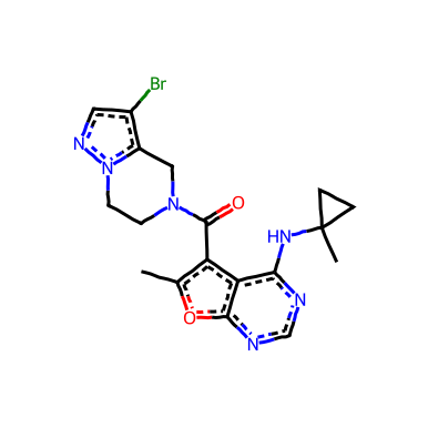 Cc1oc2ncnc(NC3(C)CC3)c2c1C(=O)N1CCn2ncc(Br)c2C1